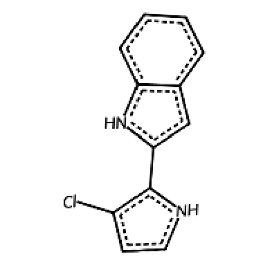 Clc1cc[nH]c1-c1cc2ccccc2[nH]1